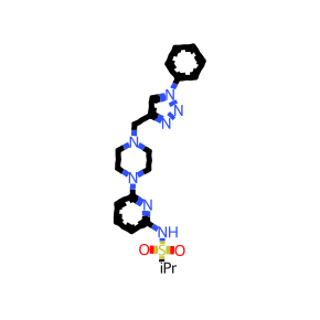 CC(C)S(=O)(=O)Nc1cccc(N2CCN(Cc3cn(-c4ccccc4)nn3)CC2)n1